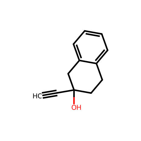 C#CC1(O)CCc2ccccc2C1